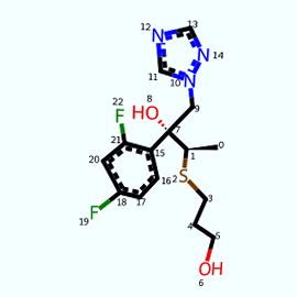 C[C@@H](SCCCO)[C@](O)(Cn1cncn1)c1ccc(F)cc1F